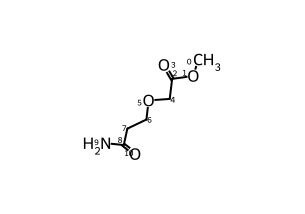 COC(=O)COCCC(N)=O